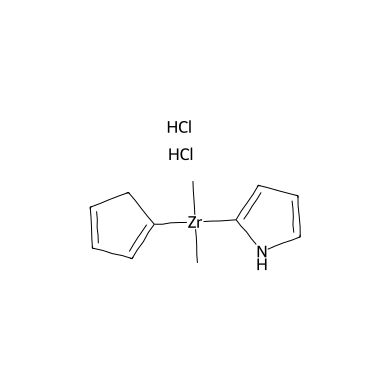 Cl.Cl.[CH3][Zr]([CH3])([C]1=CC=CC1)[c]1ccc[nH]1